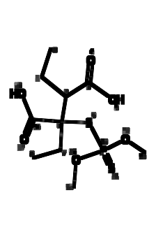 CCC(C(=O)O)C(CC)(SP(=S)(OC)OC)C(=O)O